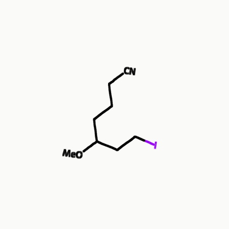 COC(CCI)CCCC#N